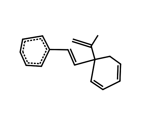 C=C(C)C1(C=Cc2ccccc2)C=CC=CC1